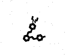 CCN(CC)c1ccc(C=Cc2ccccc2C=Cc2ccc(C)cc2)cc1